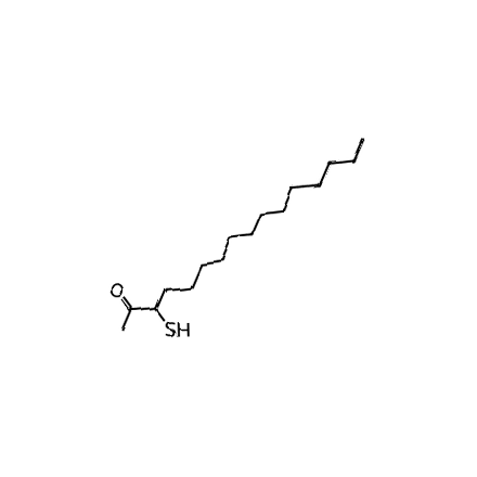 CCCCCCCCCCCCCC(S)C(C)=O